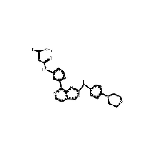 C/C(F)=C\C(=O)Nc1cccc(-c2nccc3cnc(Nc4ccc(N5CCOCC5)nc4)nc23)c1